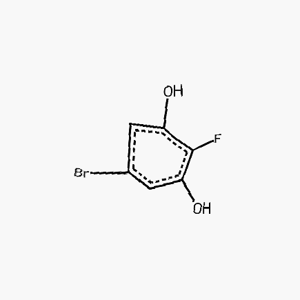 Oc1cc(Br)cc(O)c1F